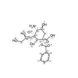 N[C@@H]1[C@@H](O)C[C@@](OC(=O)c2ccccc2)(C(=O)O)O[C@@]1(Cl)[C@H](O)[C@H](O)CO